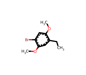 CCc1cc(OC)c(Br)cc1OC